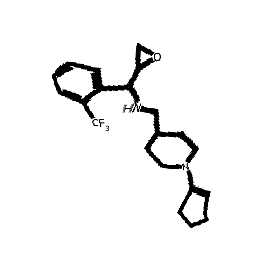 FC(F)(F)c1ccccc1C(NCC1CCN(C2CCCC2)CC1)C1CO1